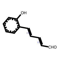 O=C/C=C/C=C/c1ccccc1O